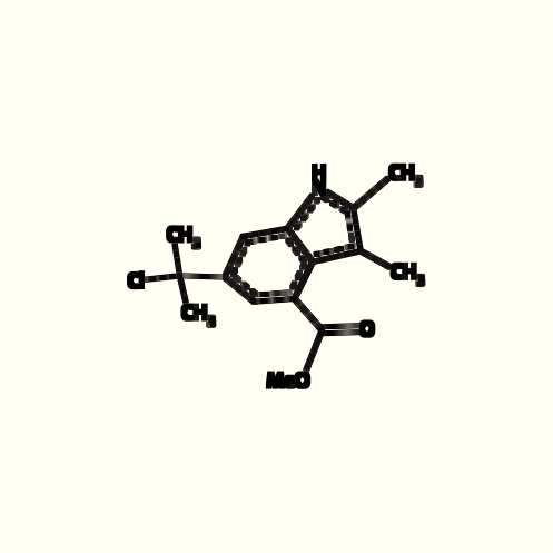 COC(=O)c1cc(C(C)(C)Cl)cc2[nH]c(C)c(C)c12